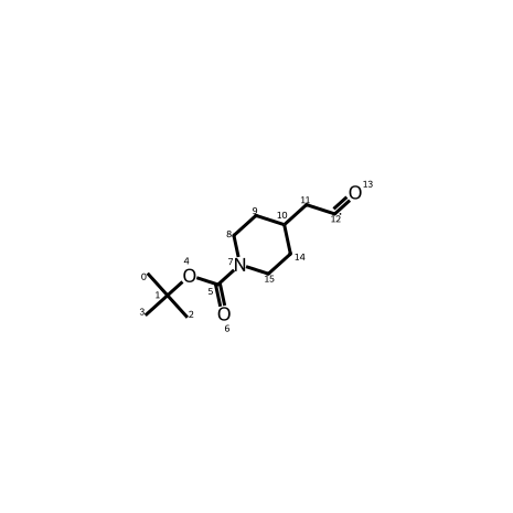 CC(C)(C)OC(=O)N1CCC(C[C]=O)CC1